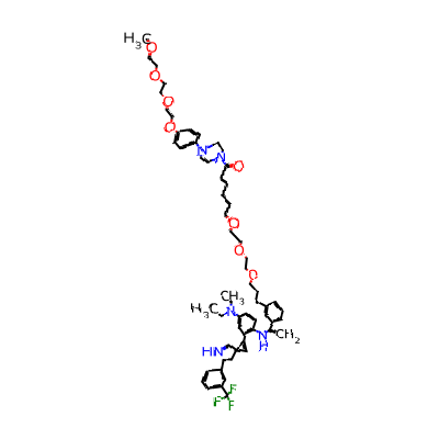 C=C(Nc1ccc(N(CC)CC)cc1C1=CC1(C=N)CCc1cccc(C(F)(F)F)c1)c1cccc(CCCOCCOCCOCCCCCC(=O)N2CCN(c3ccc(OCCOCCOCCOC)cc3)CC2)c1